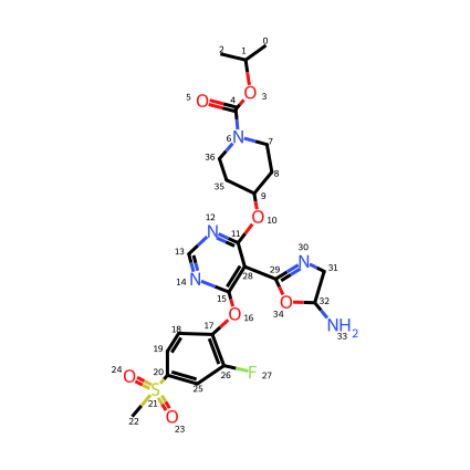 CC(C)OC(=O)N1CCC(Oc2ncnc(Oc3ccc(S(C)(=O)=O)cc3F)c2C2=NCC(N)O2)CC1